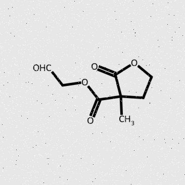 CC1(C(=O)OCC=O)CCOC1=O